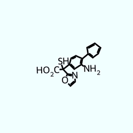 Nc1cc(C(S)(C(=O)O)c2ncco2)ccc1-c1ccccc1